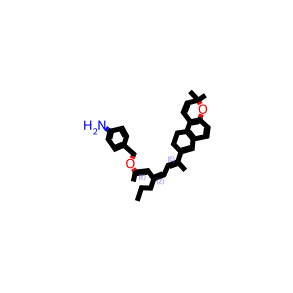 CCCC(=C/C=C(\C)C1=Cc2ccc3c(c2CC1)C=CC(C)(C)O3)/C=C(\C)OCc1ccc(N)cc1